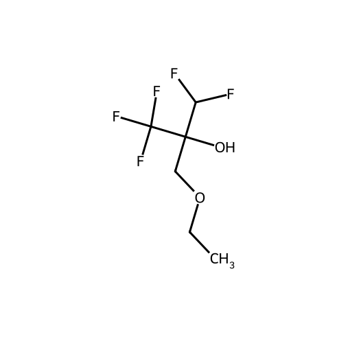 CCOCC(O)(C(F)F)C(F)(F)F